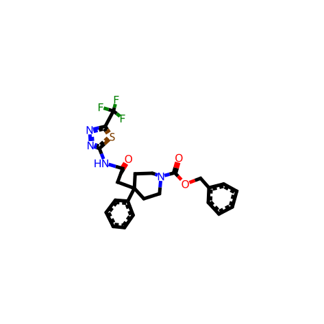 O=C(CC1(c2ccccc2)CCN(C(=O)OCc2ccccc2)CC1)Nc1nnc(C(F)(F)F)s1